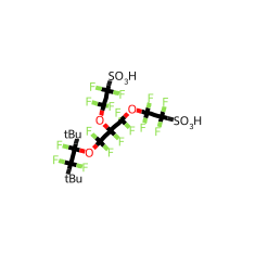 CC(C)(C)C(F)(F)C(F)(OC(F)(F)C(F)(OC(F)(F)C(F)(F)S(=O)(=O)O)C(F)(F)OC(F)(F)C(F)(F)S(=O)(=O)O)C(C)(C)C